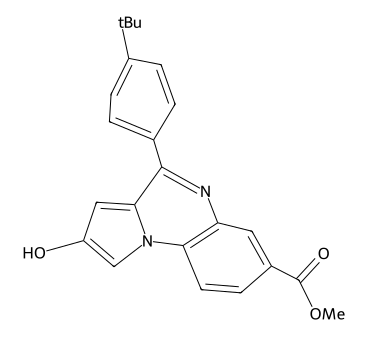 COC(=O)c1ccc2c(c1)nc(-c1ccc(C(C)(C)C)cc1)c1cc(O)cn12